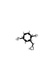 Fc1ccc(I)c(CCl)c1